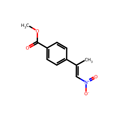 COC(=O)c1ccc(/C(C)=C/[N+](=O)[O-])cc1